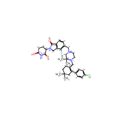 CC1(C)CCC(CN2CCN(Cc3ccc4c(c3F)CN(C3CCC(=O)NC3=O)C4=O)CC2(C)C)=C(c2ccc(Cl)cc2)C1